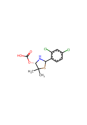 CC1(C)SC(c2ccc(Cl)cc2Cl)N[C@H]1OC(=O)O